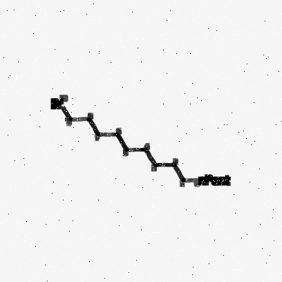 CCCCCCCCCCCCC[CH]Br